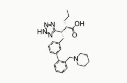 CCC[C@H](C(=O)O)[C@H](Cc1cccc(-c2ccccc2CN2CCCCC2)c1)c1nn[nH]n1